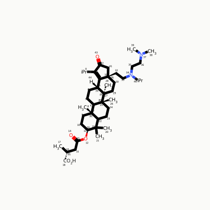 CC(C)C1=C2[C@H]3CCC4[C@@]5(C)CC[C@H](OC(=O)C[C@@H](C)C(=O)O)C(C)(C)C5CC[C@@]4(C)[C@]3(C)CC[C@@]2(CCN(CCN(C)C)C(C)C)CC1=O